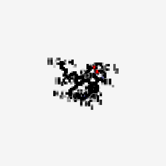 COC(=O)/C(C)=C\CC1(O)C(=O)C2CC(C(C)C)C13Oc1c(CC=C(C)C)c4c(c(OCCN5CCN(C)CC5)c1C(=O)C3C2C(/C(N)=N/O)/C(N)=N\O)C=CC(C)(CCC=C(C)C)O4